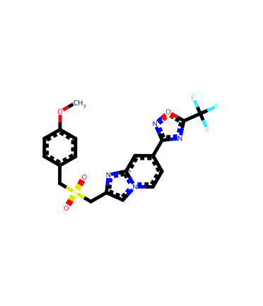 COc1ccc(CS(=O)(=O)Cc2cn3ccc(-c4noc(C(F)(F)F)n4)cc3n2)cc1